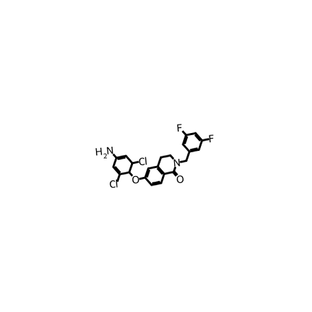 NC1=CC(Cl)C(Oc2ccc3c(c2)CCN(Cc2cc(F)cc(F)c2)C3=O)C(Cl)=C1